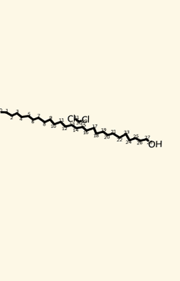 CCCCCCCCCCCCCCCCCCCCCCCCCCCCO.ClCCl